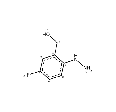 NNc1ccc(F)cc1CO